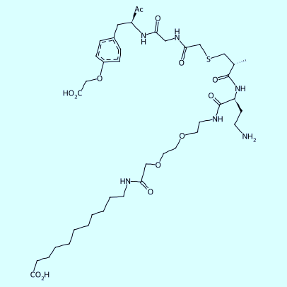 CC(=O)[C@H](Cc1ccc(OCC(=O)O)cc1)NC(=O)CNC(=O)CSC[C@H](C)C(=O)N[C@@H](CCN)C(=O)NCCOCCOCC(=O)NCCCCCCCCCCC(=O)O